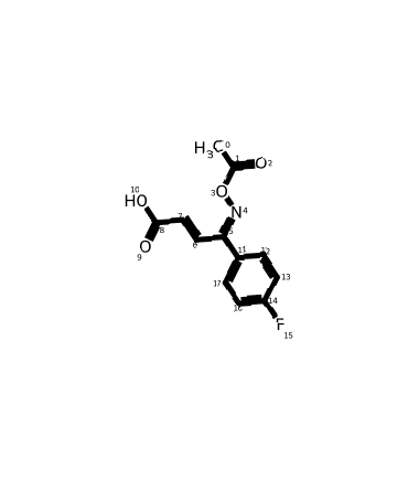 CC(=O)O/N=C(\C=C\C(=O)O)c1ccc(F)cc1